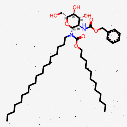 CCCCCCCCCCCCCCCCCCN(C(=O)OCCCCCCCCCCCC)[C@@H]1O[C@H](CO)[C@@H](O)[C@H](O)[C@H]1NC(=O)OCc1ccccc1